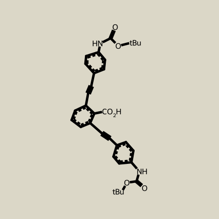 CC(C)(C)OC(=O)Nc1ccc(C#Cc2cccc(C#Cc3ccc(NC(=O)OC(C)(C)C)cc3)c2C(=O)O)cc1